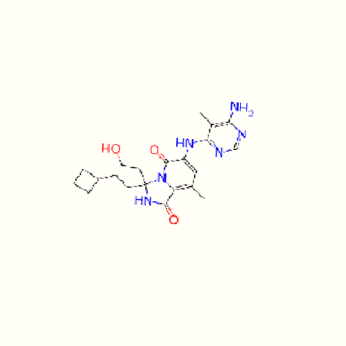 Cc1cc(Nc2ncnc(N)c2C)c(=O)n2c1C(=O)NC2(CCO)CCC1CCC1